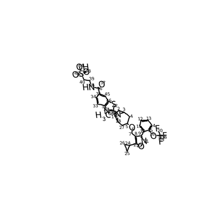 C[C@@H]1CC2CC(OCc3c(-c4ccccc4OC(F)(F)F)noc3C3CC3)CC1N2c1nc2ccc(C(=O)NCCS(=O)(=O)O)cc2s1